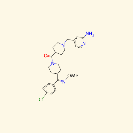 CO/N=C(/c1ccc(Cl)cc1)C1CCN(C(=O)C2CCN(Cc3ccnc(N)c3)CC2)CC1